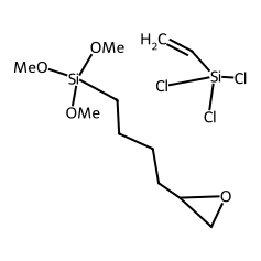 C=C[Si](Cl)(Cl)Cl.CO[Si](CCCCC1CO1)(OC)OC